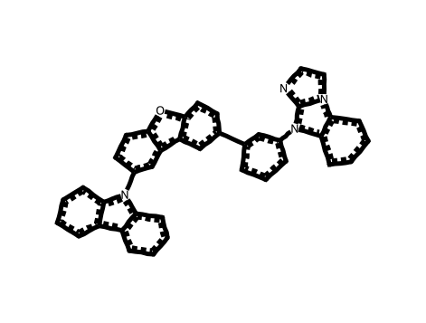 c1cc(-c2ccc3oc4ccc(-n5c6ccccc6c6ccccc65)cc4c3c2)cc(-n2c3ccccc3n3ccnc23)c1